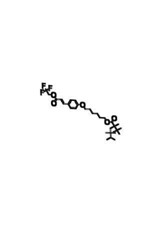 CC(C)C(C)(C)CC(C)(C(=O)OCCCCCCOc1ccc(/C=C/C(=O)OCC(F)(F)F)cc1)C(C)(C)C